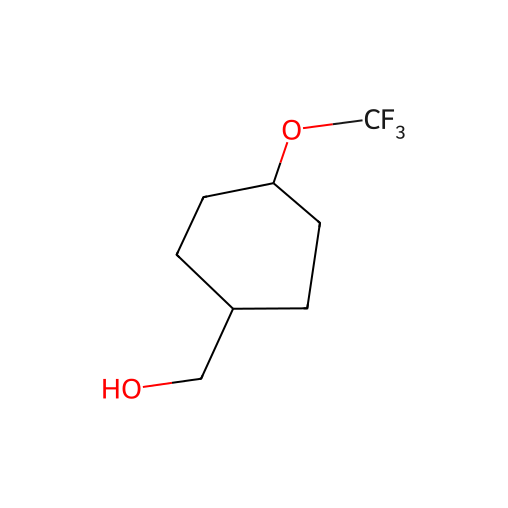 OCC1CCC(OC(F)(F)F)CC1